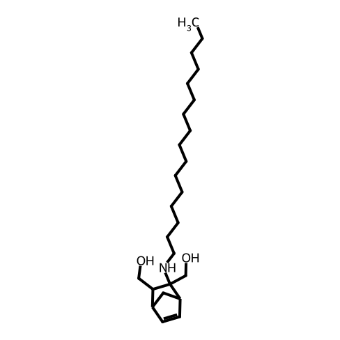 CCCCCCCCCCCCCCCCNC1(CO)C2C=CC(C2)C1CO